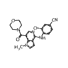 Cn1ccc2c(Nc3ccc(C#N)cc3Cl)ncc(C(=O)N3CCOCC3)c21